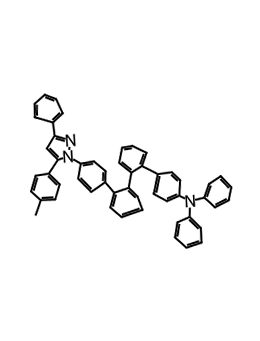 Cc1ccc(-c2cc(-c3ccccc3)nn2-c2ccc(-c3ccccc3-c3ccccc3-c3ccc(N(c4ccccc4)c4ccccc4)cc3)cc2)cc1